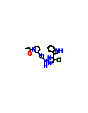 C=CC(=O)N1CCCC(N2CC(Nc3ncc(Cl)c(-c4c[nH]c5ccccc45)n3)C2)C1